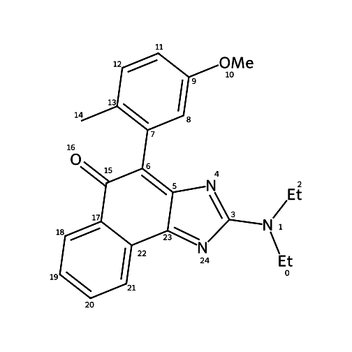 CCN(CC)C1=NC2=C(c3cc(OC)ccc3C)C(=O)c3ccccc3C2=N1